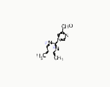 C=C/C=N\C(=N/C=C)n1cnc(C=O)c1